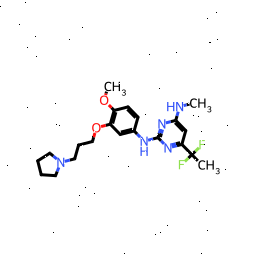 CNc1cc(C(C)(F)F)nc(Nc2ccc(OC)c(OCCCN3CCCC3)c2)n1